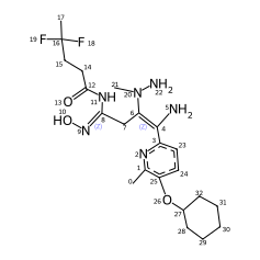 Cc1nc(/C(N)=C(\C/C(=N/O)NC(=O)CCC(C)(F)F)N(C)N)ccc1OC1CCCCC1